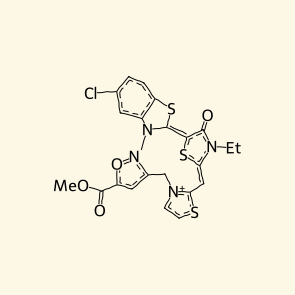 CCn1c(=O)/c(=C2\Sc3ccc(Cl)cc3N2C)s/c1=C\c1scc[n+]1Cc1cc(C(=O)OC)on1